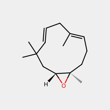 C/C1=C\CC[C@@]2(C)O[C@@H]2CC(C)(C)/C=C/C1